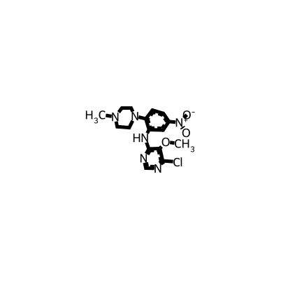 COc1c(Cl)ncnc1Nc1cc([N+](=O)[O-])ccc1N1CCN(C)CC1